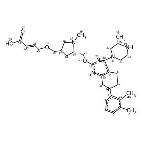 Cc1cccc(N2CCc3c(nc(OC[C@@H]4CC(COC/C=C/C(=O)O)CN4C)nc3N3CCN[C@@H](C)C3)C2)c1C